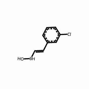 OBC=Cc1cccc(Cl)c1